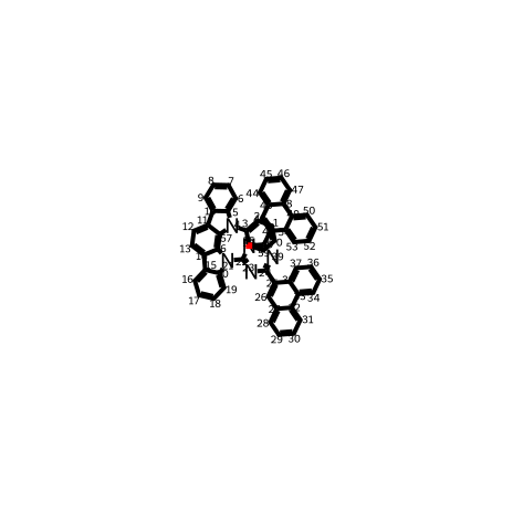 c1ccc(-n2c3ccccc3c3ccc4c5ccccc5n(-c5nc(-c6cc7ccccc7c7ccccc67)nc(-c6cc7ccccc7c7ccccc67)n5)c4c32)cc1